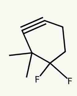 CC1(C)C#CCCC1(F)F